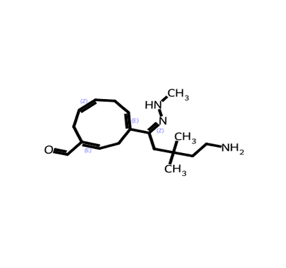 CN/N=C(CC(C)(C)CCN)\C1=C\C/C=C\C/C(C=O)=C\C1